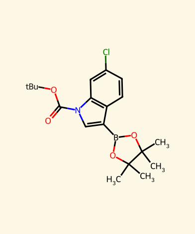 CC(C)(C)OC(=O)n1cc(B2OC(C)(C)C(C)(C)O2)c2ccc(Cl)cc21